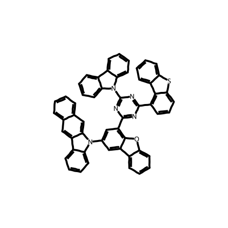 c1ccc2cc3c(cc2c1)c1ccccc1n3-c1cc(-c2nc(-c3cccc4sc5ccccc5c34)nc(-n3c4ccccc4c4ccccc43)n2)c2oc3ccccc3c2c1